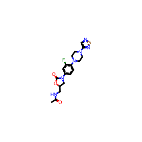 CC(=O)NCC1CN(c2ccc(N3CCN(c4cnsn4)CC3)c(F)c2)C(=O)O1